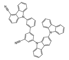 N#Cc1cc(-c2cccc(-n3c4ccccc4c4c(C#N)cccc43)c2)cc(-n2c3ccccc3c3ccc(-n4c5ccccc5c5ccccc54)cc32)c1